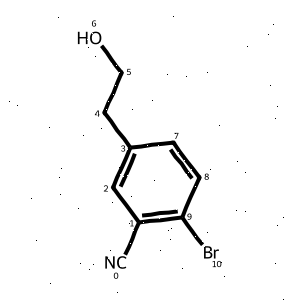 N#Cc1cc(CCO)ccc1Br